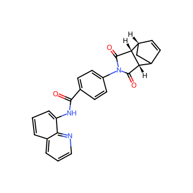 O=C(Nc1cccc2cccnc12)c1ccc(N2C(=O)[C@@H]3[C@@H]4C=CC(C4)[C@@H]3C2=O)cc1